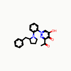 CC(=O)c1nn(-c2ccccc2N2CCCC2Cc2ccccc2)cc(O)c1=O